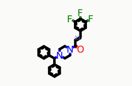 O=C(/C=C/c1cc(F)c(F)c(F)c1)N1CCN(C(c2ccccc2)c2ccccc2)CC1